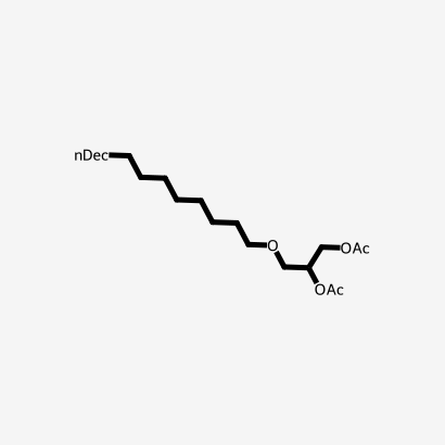 CCCCCCCCCCCCCCCCCCOCC(COC(C)=O)OC(C)=O